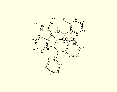 CCOC(=O)[C@@H](NC(c1ccccc1)c1ccccc1)[C@]1(OCc2ccccc2C)C(=O)N(C)c2ccccc21